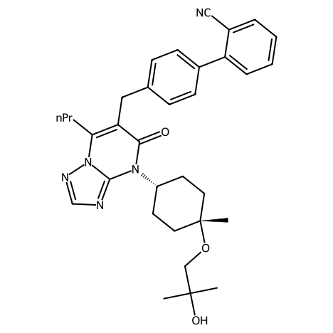 CCCc1c(Cc2ccc(-c3ccccc3C#N)cc2)c(=O)n([C@H]2CC[C@@](C)(OCC(C)(C)O)CC2)c2ncnn12